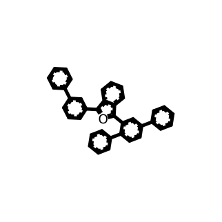 c1ccc(-c2cccc(-c3oc(-c4cc(-c5ccccc5)ccc4-c4ccccc4)c4ccccc34)c2)cc1